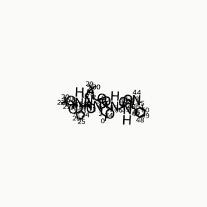 CCCC(NC(=O)C1C2C(CN1C(=O)[C@@H](NC(=O)OC(C)(C)C)C1CCCC1)C2(C)C)C(=O)C(=O)NCC(=O)N[C@H](C(=O)N(C)C)c1ccccc1